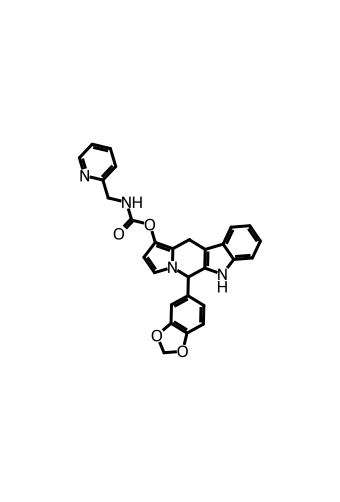 O=C(NCc1ccccn1)Oc1ccn2c1Cc1c([nH]c3ccccc13)C2c1ccc2c(c1)OCO2